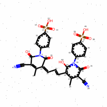 CC1=C(C#N)C(=O)N(c2ccc(S(=O)(=O)O)cc2)C(=O)C1=CC=Cc1c(C)c(C#N)c(=O)n(-c2ccc(S(=O)(=O)O)cc2)c1O